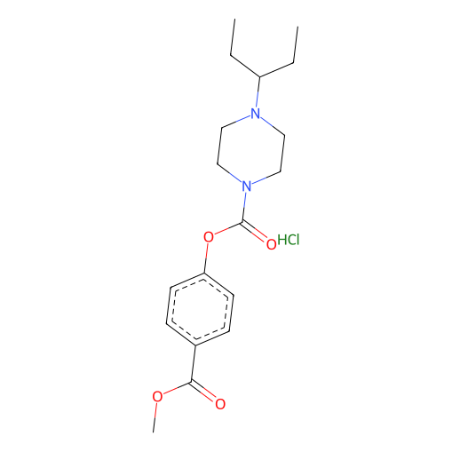 CCC(CC)N1CCN(C(=O)Oc2ccc(C(=O)OC)cc2)CC1.Cl